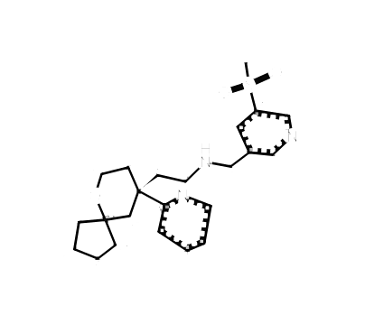 CS(=O)(=O)c1cncc(CNCC[C@]2(c3ccccn3)CCOC3(CCCC3)C2)c1